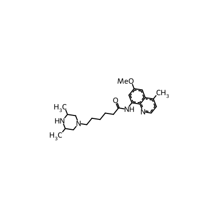 COc1cc(NC(=O)CCCCCN2CC(C)NC(C)C2)c2nccc(C)c2c1